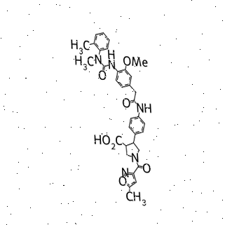 COc1cc(CC(=O)Nc2ccc(C3CN(C(=O)c4cc(C)on4)CC3C(=O)O)cc2)ccc1NC(=O)N(C)c1ccccc1C